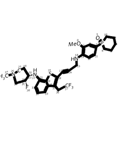 COc1cc(P2(=O)CCCCC2)ccc1NCC#Cc1sc2c(N[C@H]3CCN(C)C[C@H]3F)cccc2c1CC(F)(F)F